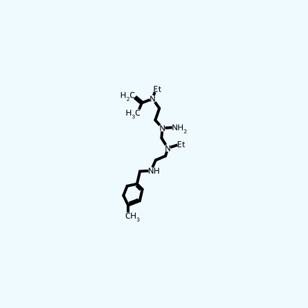 C=C(C)N(CC)CCN(N)CN(CC)CCNCC1=CC=C(C)CC1